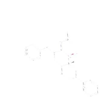 CC(=O)NC1C(Cc2ccccc2)OC2COC(c3ccccc3)O[C@H]2[C@@H]1O